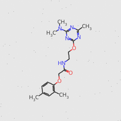 Cc1ccc(OCC(=O)NCCOc2nc(C)nc(N(C)C)n2)c(C)c1